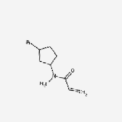 C=CC(=O)N(C)C1CCC(C(C)C)C1